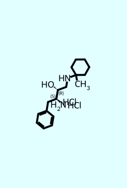 CC1(NC[C@@H](O)[C@@H](N)Cc2ccccc2)CCCCC1.Cl.Cl